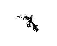 CCOC(=O)c1cn2c(cc1=O)-c1cc(-c3nccs3)c(OCC3CN(S(=O)(=O)C4CC4)C3)cc1CC2C(C)C